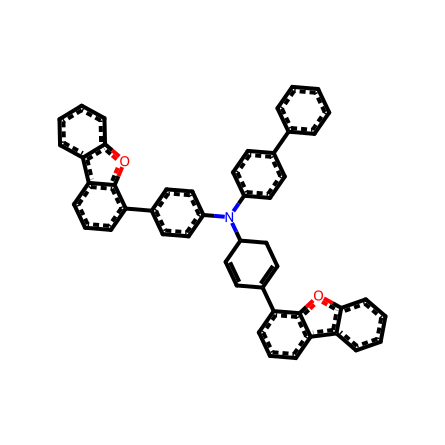 C1=CC(N(c2ccc(-c3ccccc3)cc2)c2ccc(-c3cccc4c3oc3ccccc34)cc2)CC=C1c1cccc2c1oc1ccccc12